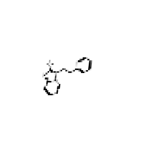 CC(=O)c1nc2ccccn2c1CCc1ccccc1